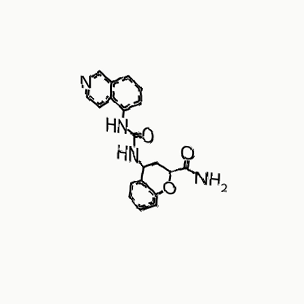 NC(=O)C1CC(NC(=O)Nc2cccc3cnccc23)c2ccccc2O1